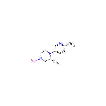 C[C@H]1CN(P)CCN1c1ccc([N+](=O)[O-])nc1